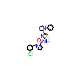 O=C(Nc1nc([C@H]2CCCN2c2ccccc2)cs1)c1cccn1Cc1cccc(Cl)c1